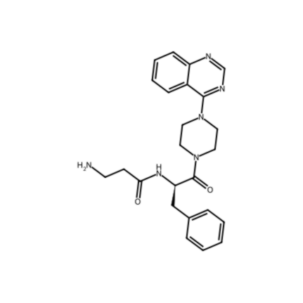 NCCC(=O)N[C@H](Cc1ccccc1)C(=O)N1CCN(c2ncnc3ccccc23)CC1